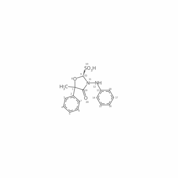 CC1(c2ccccc2)O[C@@H](S(=O)(=O)O)N(Nc2ccccc2)C1=O